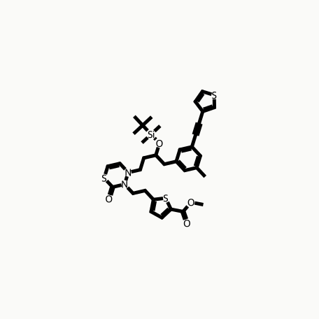 COC(=O)c1ccc(CCN2C(=O)SC=CN2CCC(Cc2cc(C)cc(C#Cc3ccsc3)c2)O[Si](C)(C)C(C)(C)C)s1